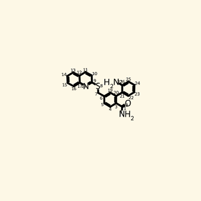 NC(=O)c1ccc(CSc2ccc3ccccc3n2)cc1-c1ccccc1N